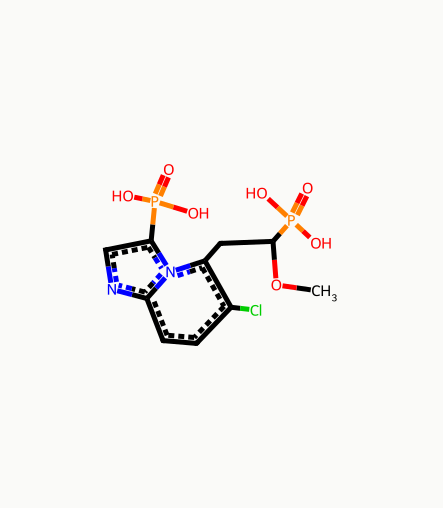 COC(Cc1c(Cl)ccc2ncc(P(=O)(O)O)n12)P(=O)(O)O